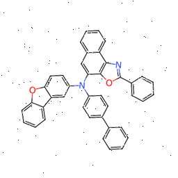 c1ccc(-c2ccc(N(c3ccc4oc5ccccc5c4c3)c3cc4ccccc4c4nc(-c5ccccc5)oc34)cc2)cc1